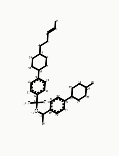 C/C=C/CCC1CCC(c2ccc(C(F)(F)OC(C)c3ccc(C4CCC(C)CC4)cc3)cc2)CC1